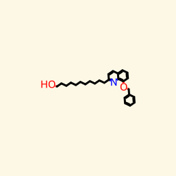 OCCCCCCCCCCCc1ccc2cccc(OCc3ccccc3)c2n1